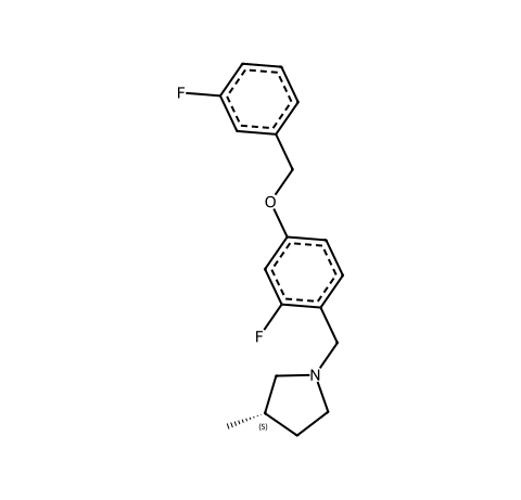 C[C@H]1CCN(Cc2ccc(OCc3cccc(F)c3)cc2F)C1